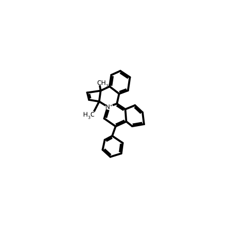 CC12C=CC1(C)[n+]1cc(-c3ccccc3)c3ccccc3c1-c1ccccc12